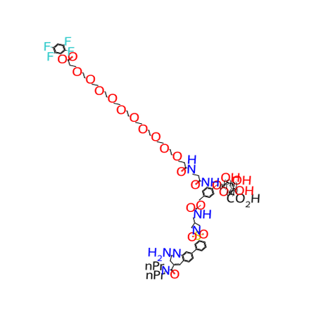 CCCN(CCC)C(=O)C1=Cc2ccc(-c3cccc(S(=O)(=O)N4CC(CNC(=O)OCc5ccc(O[C@H]6O[C@@H](C(=O)O)[C@H](O)[C@@H](O)[C@@H]6O)c(NC(=O)CCNC(=O)CCOCCOCCOCCOCCOCCOCCOCCOCCOCCOCCC(=O)Oc6c(F)c(F)cc(F)c6F)c5)C4)c3)cc2N=C(N)C1